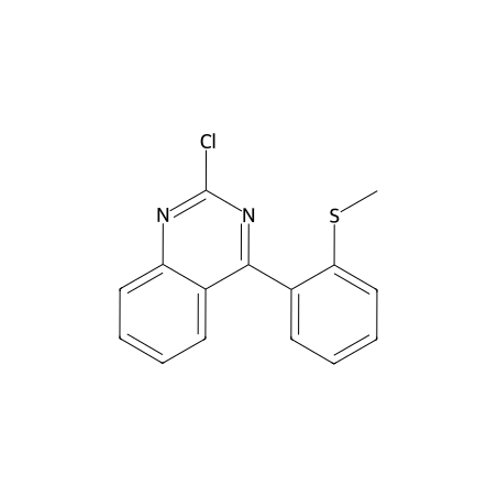 CSc1ccccc1-c1nc(Cl)nc2ccccc12